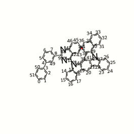 c1ccc(-c2cccc(-c3nc(-n4c5ccccc5c5cc6c7ccccc7n7c8c9ccccc9ccc8c(c54)c67)c4ccccc4n3)c2)cc1